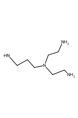 [NH]CCCN(CCN)CCN